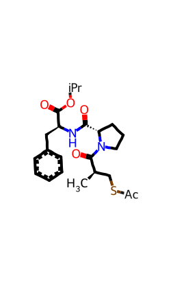 CC(=O)SC[C@@H](C)C(=O)N1CCC[C@H]1C(=O)N[C@@H](Cc1ccccc1)C(=O)OC(C)C